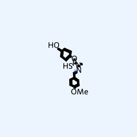 COc1ccc(/C=N/N(C)P(S)Oc2ccc(CO)cc2)cc1